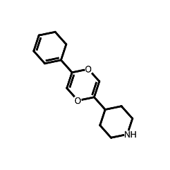 C1=CCCC(C2=COC(C3CCNCC3)=CO2)=C1